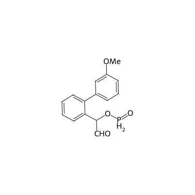 COc1cccc(-c2ccccc2C(C=O)O[PH2]=O)c1